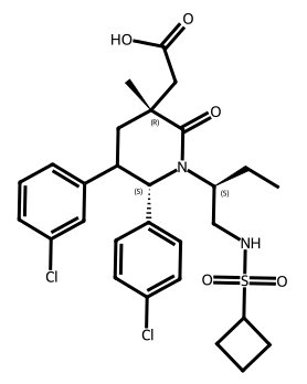 CC[C@@H](CNS(=O)(=O)C1CCC1)N1C(=O)[C@@](C)(CC(=O)O)CC(c2cccc(Cl)c2)[C@H]1c1ccc(Cl)cc1